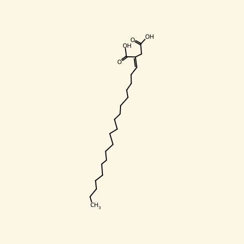 CCCCCCCCCCCCCCCCCCC=C(CC(=O)O)C(=O)O